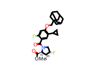 COC(=O)[C@@H]1[C@@H](C)[C@@H](F)CN1C(=O)c1cc(C2CC2)c(OCC23CC4CC(CC(C4)C2)C3)cc1F